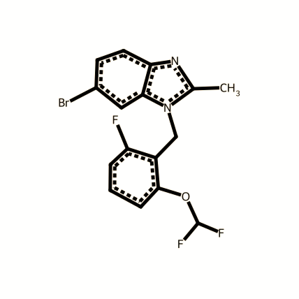 Cc1nc2ccc(Br)cc2n1Cc1c(F)cccc1OC(F)F